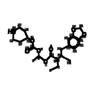 CCN(C(=O)OC(C)OC(=O)OC1CCNCC1)C(C)Cc1ccc2c(c1)OCO2